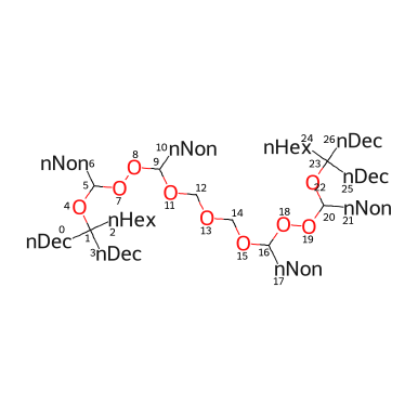 CCCCCCCCCCC(CCCCCC)(CCCCCCCCCC)OC(CCCCCCCCC)OOC(CCCCCCCCC)OCOCOC(CCCCCCCCC)OOC(CCCCCCCCC)OC(CCCCCC)(CCCCCCCCCC)CCCCCCCCCC